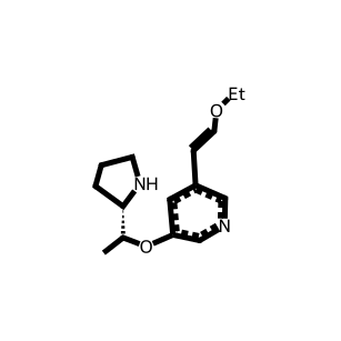 CCOC=Cc1cncc(OC(C)[C@@H]2CCCN2)c1